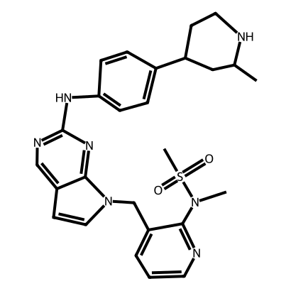 CC1CC(c2ccc(Nc3ncc4ccn(Cc5cccnc5N(C)S(C)(=O)=O)c4n3)cc2)CCN1